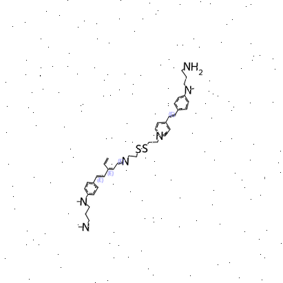 C=CC(/C=C/c1ccc(N(C)CCCN(C)C)cc1)=C\C=N\CCSSCC[n+]1ccc(/C=C/c2ccc(N(C)CCCN)cc2)cc1